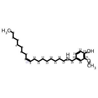 CCCCCCCC/C=C\CCCCCCCCNCc1ccc(O)c(OC)c1